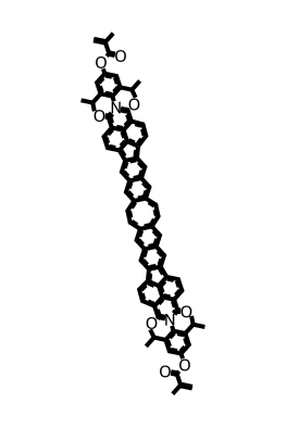 C=C(C)C(=O)Oc1cc(C(C)C)c(-n2c(=O)c3ccc4c5cc6cc7ccc8cc9cc%10c(cc9cc8ccc7cc6cc5c5ccc(c2=O)c3c45)c2ccc3c(=O)n(-c4c(C(C)C)cc(OC(=O)C(=C)C)cc4C(C)C)c(=O)c4ccc%10c2c43)c(C(C)C)c1